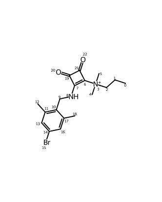 CCC[N+](C)(C)c1c(NCc2c(C)cc(Br)cc2C)c(=O)c1=O